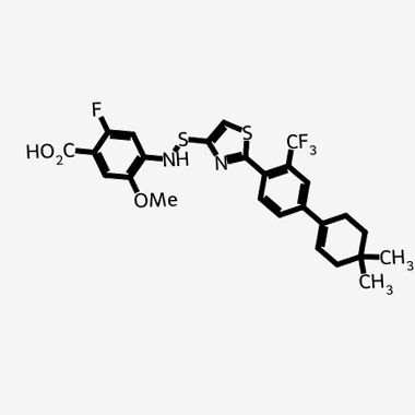 COc1cc(C(=O)O)c(F)cc1NSc1csc(-c2ccc(C3=CCC(C)(C)CC3)cc2C(F)(F)F)n1